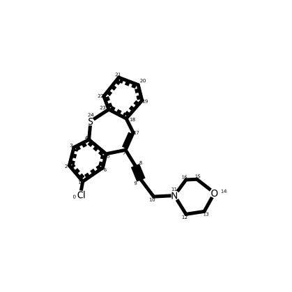 Clc1ccc2c(c1)C(C#CCN1CCOCC1)=Cc1ccccc1S2